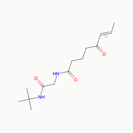 C/C=C/C(=O)CCCC(=O)NCC(=O)NC(C)(C)C